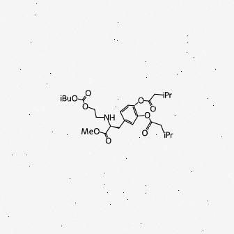 COC(=O)[C@H](Cc1ccc(OC(=O)CC(C)C)c(OC(=O)CC(C)C)c1)NCCOC(=O)OCC(C)C